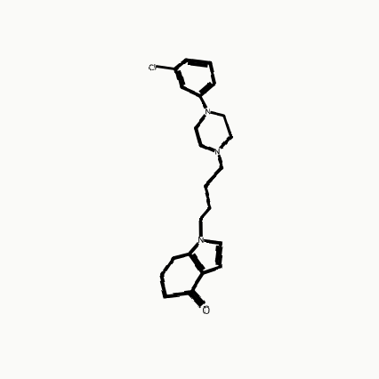 O=C1CCCc2c1ccn2CCCCN1CCN(c2cccc(Cl)c2)CC1